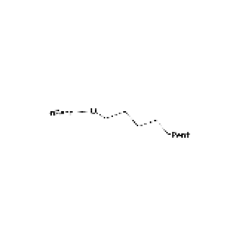 CCCC[CH]OCCCCCCCCC